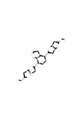 O=Cc1cc2oc(-c3ccc(-c4cc5sc(C=O)cc5o4)c4[nH]ccc34)cc2s1